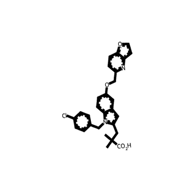 CC(C)(Cc1cc2cc(OCc3ccc4occc4n3)ccc2n1Cc1ccc(Cl)cc1)C(=O)O